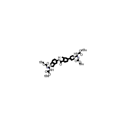 Cc1cc(C2=CCN(/C(=N\C(=O)OC(C)(C)C)NC(=O)OC(C)(C)C)CC2)ccc1C(=O)Nc1ccc2c(c1)CN(/C(=N\C(=O)OC(C)(C)C)NC(=O)OC(C)(C)C)C2